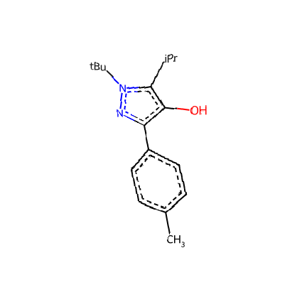 Cc1ccc(-c2nn(C(C)(C)C)c(C(C)C)c2O)cc1